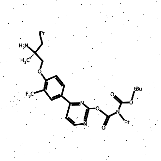 CCN(C(=O)Oc1nccc(-c2ccc(OC[C@@](C)(N)CC(C)C)c(C(F)(F)F)c2)n1)C(=O)OC(C)(C)C